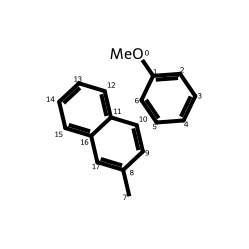 COc1ccccc1.Cc1ccc2ccccc2c1